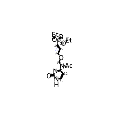 CCOP(=O)(/C=C/COCN(C(C)=O)c1cc[nH]c(=O)n1)OCC